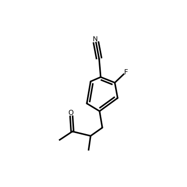 CC(=O)C(C)Cc1ccc(C#N)c(F)c1